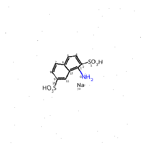 Nc1c(S(=O)(=O)O)ccc2ccc(S(=O)(=O)O)cc12.[Na]